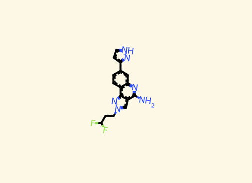 Nc1nc2cc(-c3cc[nH]n3)ccc2c2nn(CCC(F)F)cc12